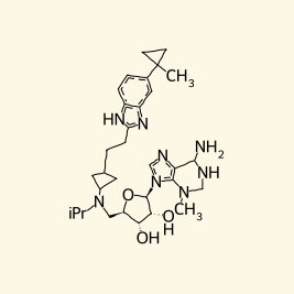 CC(C)N(C[C@H]1O[C@@H](n2cnc3c2N(C)CNC3N)[C@H](O)[C@@H]1O)C1CC(CCc2nc3cc(C4(C)CC4)ccc3[nH]2)C1